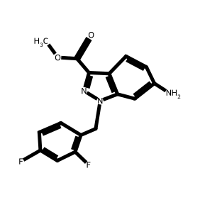 COC(=O)c1nn(Cc2ccc(F)cc2F)c2cc(N)ccc12